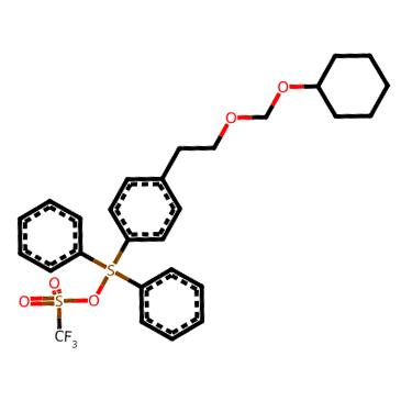 O=S(=O)(OS(c1ccccc1)(c1ccccc1)c1ccc(CCOCOC2CCCCC2)cc1)C(F)(F)F